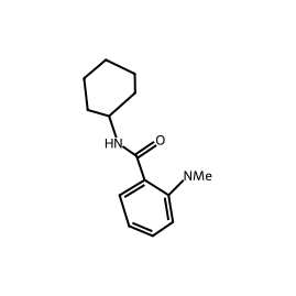 CNc1ccccc1C(=O)NC1CCCCC1